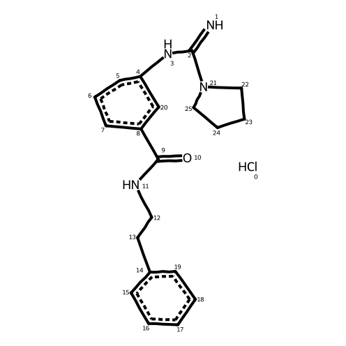 Cl.N=C(Nc1cccc(C(=O)NCCc2ccccc2)c1)N1CCCC1